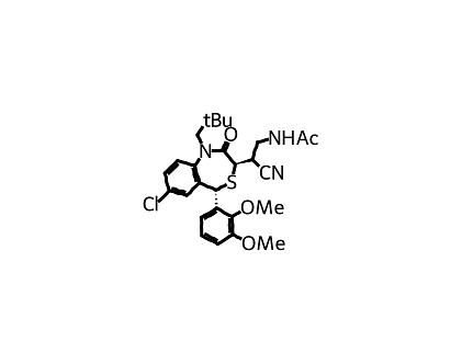 COc1cccc([C@H]2S[C@H](C(C#N)CNC(C)=O)C(=O)N(CC(C)(C)C)c3ccc(Cl)cc32)c1OC